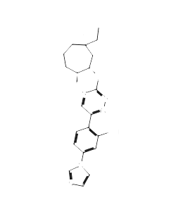 CC[C@]1(C)CCC[C@H](F)[C@H](Oc2ncc(-c3ccc(-n4ccnc4)cc3O)nn2)C1